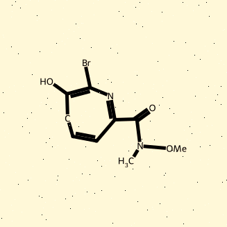 CON(C)C(=O)C1=NC(Br)=C(O)CC=C1